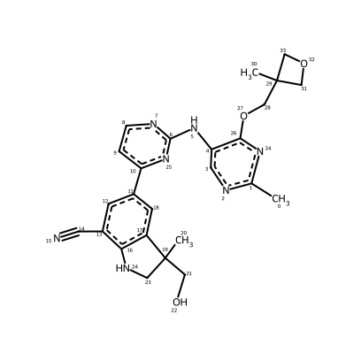 Cc1ncc(Nc2nccc(-c3cc(C#N)c4c(c3)C(C)(CO)CN4)n2)c(OCC2(C)COC2)n1